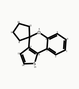 c1ccc2c(c1)OC1(CCCC1)c1ccsc1-2